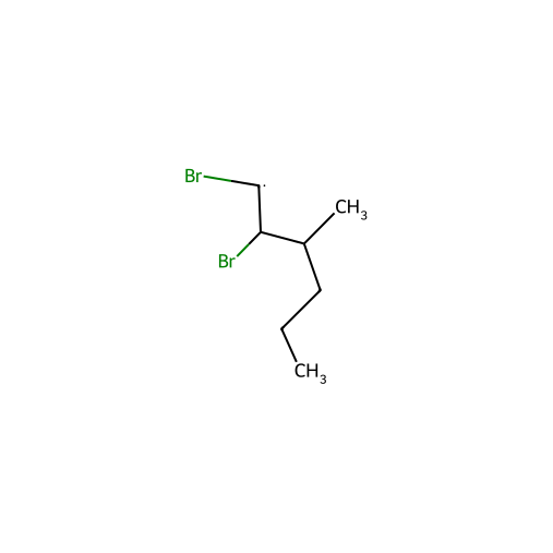 CCCC(C)C(Br)[CH]Br